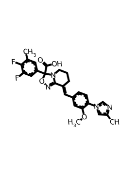 COc1cc(/C=C2\CCCN3C2=NOC3(C(=O)O)c2cc(C)c(F)c(F)c2)ccc1-n1cnc(C)c1